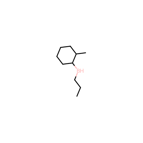 CCCBC1CCCCC1C